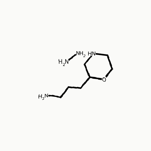 NCCCC1CNCCO1.NN